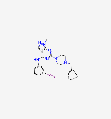 Cn1ncc2c(Nc3cccc(P)c3)nc(N3CCN(Cc4ccccc4)CC3)nc21